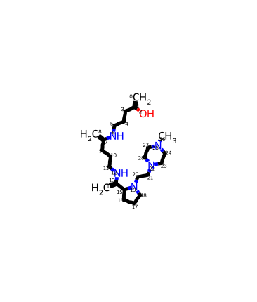 C=C(O)CCCNC(=C)CCCNC(=C)C1CCCN1CCN1CCN(C)CC1